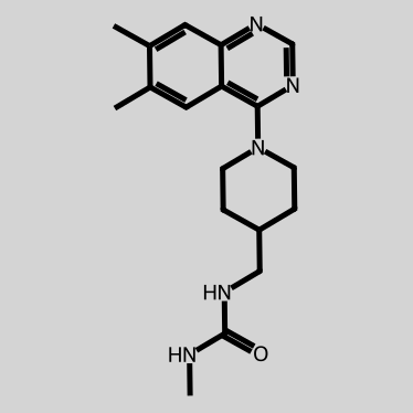 CNC(=O)NCC1CCN(c2ncnc3cc(C)c(C)cc23)CC1